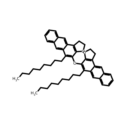 CCCCCCCCCc1c(Oc2c3c(c4cc5ccccc5cc4c2CCCCCCCCC)CCO3)c2c(c3cc4ccccc4cc13)CCO2